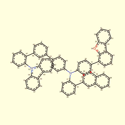 c1cc(-c2ccc(N(c3ccc(-c4cccc5c4oc4ccccc45)cc3)c3ccccc3-c3ccc4ccccc4c3)cc2)cc(-c2ccccc2-n2c3ccccc3c3ccccc32)c1